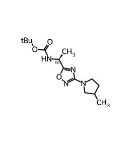 CC1CCN(c2noc([C@H](C)NC(=O)OC(C)(C)C)n2)C1